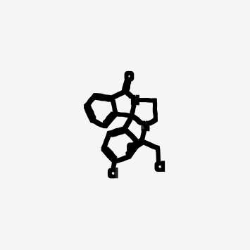 O=C(CCl)N1CCN2C(=O)c3ccccc3C12c1ccc(Cl)cc1